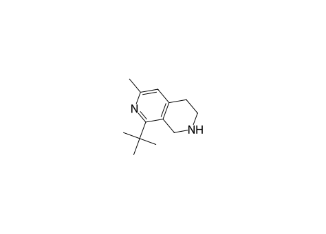 Cc1cc2c(c(C(C)(C)C)n1)CNCC2